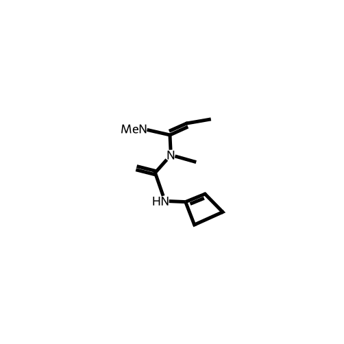 C=C(NC1=CCC1)N(C)/C(=C\C)NC